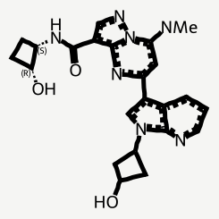 CNc1cc(-c2cn(C3CC(O)C3)c3ncccc23)nc2c(C(=O)N[C@H]3CC[C@H]3O)cnn12